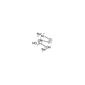 CC(=O)[O-].O=N[O-].O=S(=O)(O)O.[Na+].[Na+]